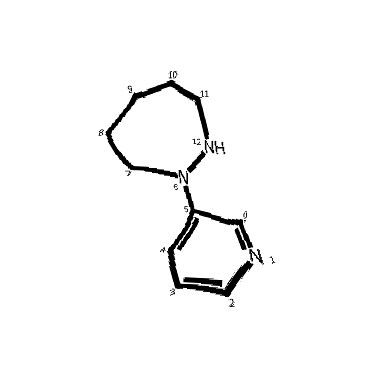 [c]1ncccc1N1CCCCCN1